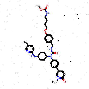 Cn1cc(-c2ccc(N(C(=O)NCc3ccc(OCCCCNC(=O)OC(C)(C)C)cc3)C3CCC(Nc4ccc(C#N)cn4)CC3)cc2)ccc1=O